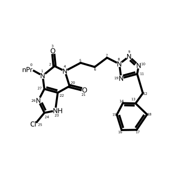 CCCn1c(=O)n(CCCn2nnc(Cc3ccccc3)n2)c(=O)c2[nH]c(Cl)nc21